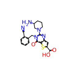 N#Cc1ccccc1Cn1c(N2CCCC(N)C2)nc2cc(C(=O)O)sc2c1=O